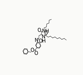 CCCCCCCCCC(=O)NC(Cc1nc2cc(C(=O)OCc3ccccc3)ccc2o1)C(=O)NCCCCCC